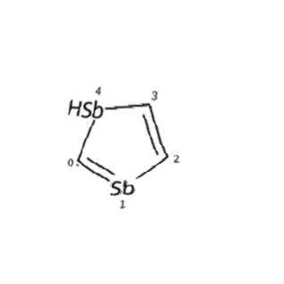 [C]1=[Sb][CH]=[CH][SbH]1